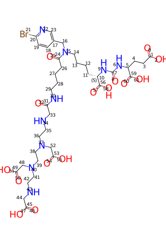 O=C(O)CCC(NC(=O)N[C@@H](CCCCN(Cc1ccc(Br)nc1)C(=O)CCCCNC(=O)CNCCN(CCN(CCNCC(=O)O)CC(=O)O)CC(=O)O)C(=O)O)C(=O)O